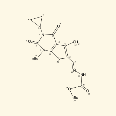 CCCCn1c(=O)n(C2CC2)c(=O)c2c(C)c(C=NNC(=O)OC(C)(C)C)sc21